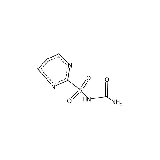 NC(=O)NS(=O)(=O)c1ncccn1